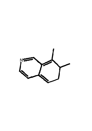 CC1=c2cnccc2=CCC1C